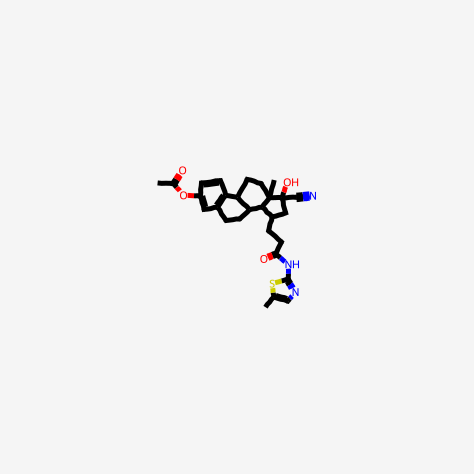 CC(=O)Oc1ccc2c(c1)CCC1C2CCC2(C)C1C(CCC(=O)Nc1ncc(C)s1)CC2(O)C#N